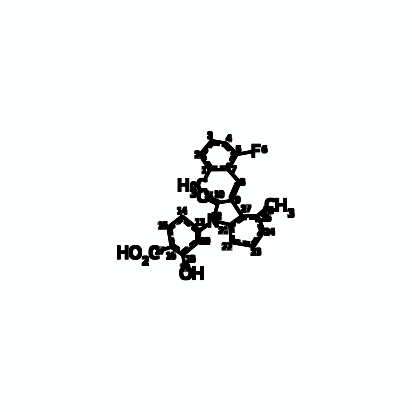 Cc1cccc(F)c1/C=C1\C(=O)N(c2ccc(C(=O)O)c(O)c2)c2cccc(C)c21